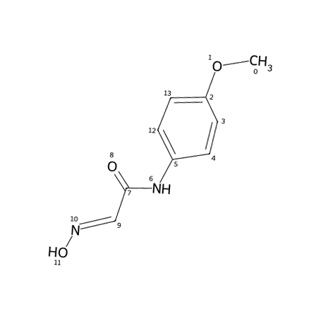 COc1ccc(NC(=O)/C=N/O)cc1